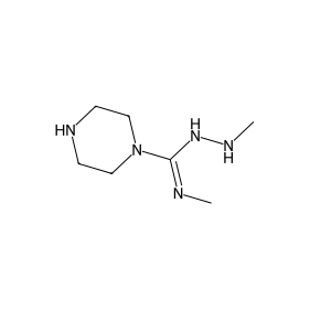 CN=C(NNC)N1CCNCC1